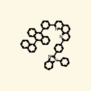 c1ccc(-n2c(-c3ccc(-c4ccc5ccc6ccc(-c7cccc(-c8c9ccccc9c(-c9cccc%10ccccc9%10)c9ccccc89)c7)nc6c5n4)cc3)nc3ccccc32)cc1